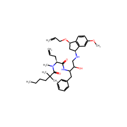 C=CCO[C@@H]1C[C@H](NCC(O)C(Cc2ccccc2)NC(=O)[C@H](CC=C)N(C)C(=O)C(C)(C)CCCC)c2cc(OC)ccc21